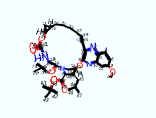 COc1ccc2nc3c(nc2c1)O[C@H]1CN(C(=O)[C@H](C(C)(C)C)NC(=O)O[C@@H]2C[C@H]2CCCC/C=C/3)[C@H](C(=O)OC(C)(C)C)[C@@H]1CC(C)C